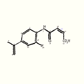 C=C(C)c1ccc(NC(=O)/C=C\C(=O)O)c(Br)c1